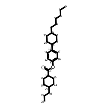 CCCCCCC1CCC(c2ccc(OC(=O)C3CCC(CCC)CC3)cc2)CC1